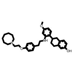 COc1ccc(C2CCc3cc(O)ccc3C2)c(NCCc2ccc(OCCN3CCCCCCC3)cc2)c1